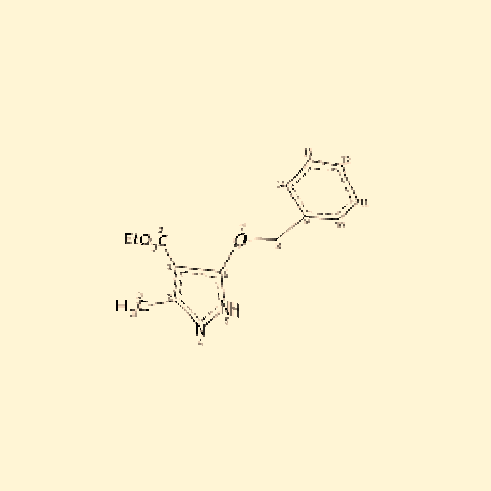 CCOC(=O)c1c(C)n[nH]c1OCc1ccccc1